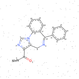 CNC(=O)c1ncn2c1CN=C(c1ccccc1)c1ccccc1-2